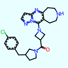 O=C(C1CN(c2c3c(nc4ccnn24)CCNCC3)C1)N1CCC(Cc2ccc(Cl)cc2)C1